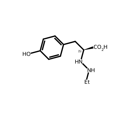 CCNN[C@@H](Cc1ccc(O)cc1)C(=O)O